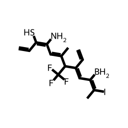 BC(/C=C(\C=C)C(/C(C)=C/C(N)=C(/S)C=C)C(F)(F)F)=C(/C)I